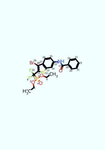 CCOP(=O)(OCC)C(F)(F)c1sc2cc(NC(=O)c3ccccc3)ccc2c1Br